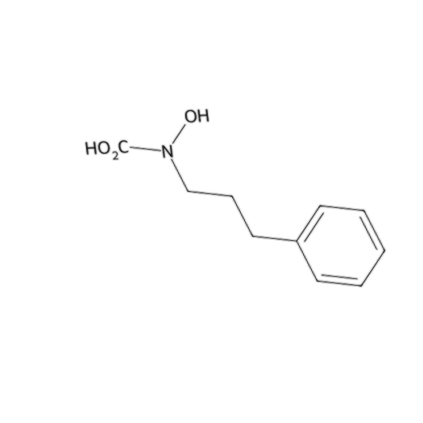 O=C(O)N(O)CCCc1ccccc1